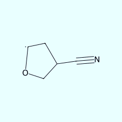 N#CC1C[CH]OC1